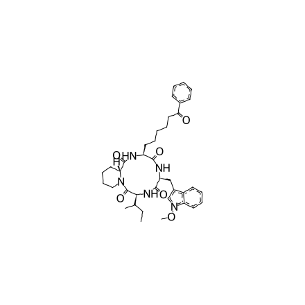 CCC(C)[C@@H]1NC(=O)[C@H](Cc2cn(OC)c3ccccc23)NC(=O)[C@H](CCCCCC(=O)c2ccccc2)NC(=O)[C@H]2CCCCN2C1=O